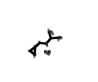 CCCC(C)OCC1CO1.O